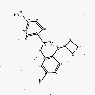 CCN(Cc1cc(Br)ccc1OC1CCC1)c1ccc(C(=O)O)nn1